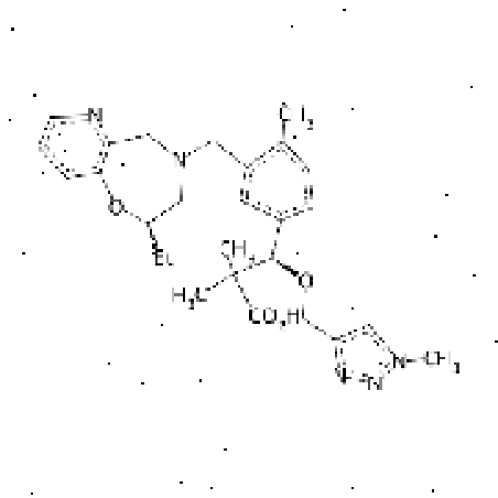 CC[C@@H]1CN(Cc2cc([C@@H](OCc3cn(C)nn3)C(C)(C)C(=O)O)ccc2C)Cc2ncccc2O1